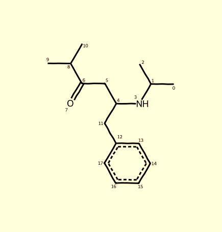 CC(C)NC(CC(=O)C(C)C)Cc1ccccc1